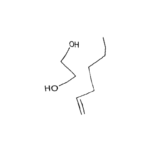 C=CCCCC.OCCO